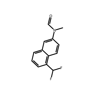 CN(C=O)c1ccc2c([C](F)F)cccc2c1